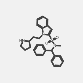 CN(C(c1ccccc1)c1ccccc1)S(=O)(=O)c1cc2ccccc2n1CCC1CCCN1